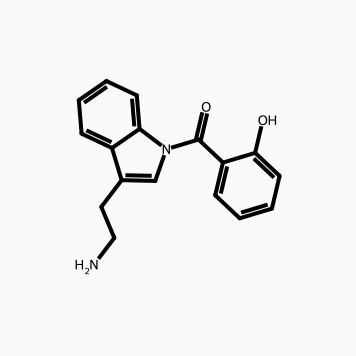 NCCc1cn(C(=O)c2ccccc2O)c2ccccc12